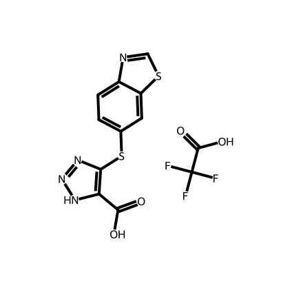 O=C(O)C(F)(F)F.O=C(O)c1[nH]nnc1Sc1ccc2ncsc2c1